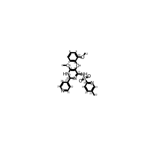 COC1=C(Oc2ccccc2OC)C(NS(=O)(=O)c2ccc(C)cn2)=NC(c2ccncc2)N1